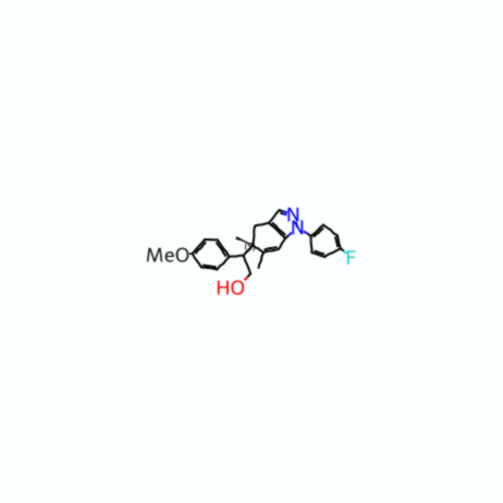 COc1ccc(C(CO)[C@]2(C)Cc3cnn(-c4ccc(F)cc4)c3C=C2C)cc1